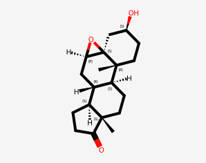 C[C@]12CC[C@H]3[C@@H](C[C@H]4O[C@]45C[C@@H](O)CC[C@]35C)[C@@H]1CCC2=O